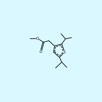 COC(=O)Cc1cc(C(C)C)sc1C(C)C